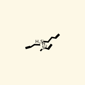 C=CCC[SiH2]CCC=C.C=C[SiH2]C